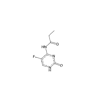 CCC(=O)Nc1nc(=O)[nH]cc1F